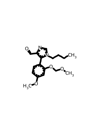 CCCCn1cnc(C=O)c1-c1ccc(OC)cc1OCOC